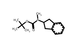 CN(C(=O)OC(C)(C)C)C1Cc2ccccc2C1